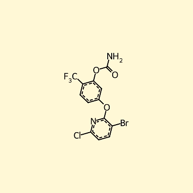 NC(=O)Oc1cc(Oc2nc(Cl)ccc2Br)ccc1C(F)(F)F